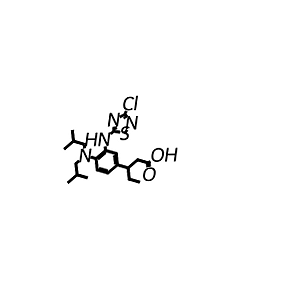 CCC(CC(=O)O)c1ccc(N(CC(C)C)CC(C)C)c(Nc2nc(Cl)ns2)c1